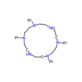 CC(C)N1CCNCCN(C(C)C)CCN(C(C)C)CCNCCN(C(C)C)CC1